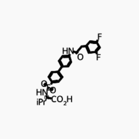 CC(C)[C@H](NS(=O)(=O)c1ccc(-c2ccc(NC(=O)Cc3cc(F)cc(F)c3)cc2)cc1)C(=O)O